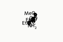 CCOC(=O)Cn1c(=O)n(CC(=O)c2cccc(OC)c2)c(=O)c2c1nc(N1CCCC(N)C1)n2CC